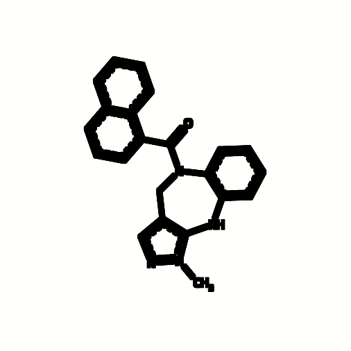 Cn1ncc2c1Nc1ccccc1N(C(=O)c1cccc3ccccc13)C2